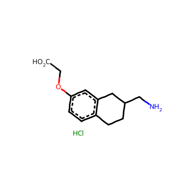 Cl.NCC1CCc2ccc(OCC(=O)O)cc2C1